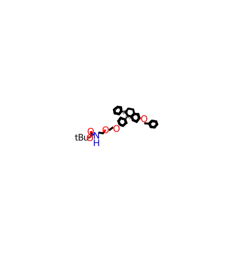 CC(C)(C)OC(=O)NCCOCCOc1ccc([C@@H]2c3ccc(OCc4ccccc4)cc3CC[C@@H]2c2ccccc2)cc1